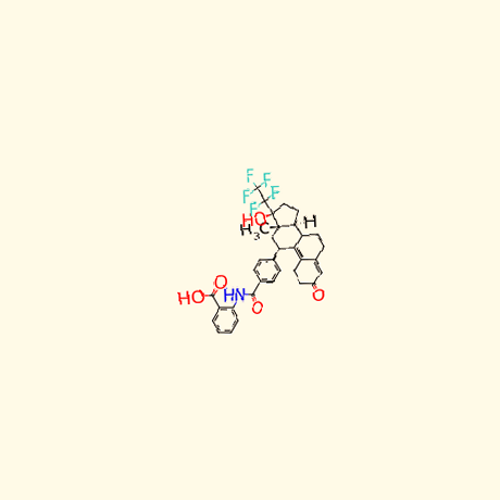 C[C@]12C[C@H](c3ccc(C(=O)Nc4ccccc4C(=O)O)cc3)C3=C4CCC(=O)C=C4CCC3[C@@H]1CC[C@@]2(O)C(F)(F)C(F)(F)F